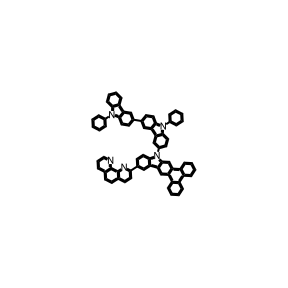 c1ccc(-n2c3ccccc3c3cc(-c4ccc5c(c4)c4cc(-n6c7ccc(-c8ccc9ccc%10cccnc%10c9n8)cc7c7cc8c9ccccc9c9ccccc9c8cc76)ccc4n5-c4ccccc4)ccc32)cc1